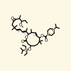 CCC(OC)C(C)C1OC1CC(C)(C)/C=C/C=C(\C)C1OC(=O)CC(O[Si](CC)(CC)C(C)C)CCC(C)(C)C(OC(=O)N2CCN(C(C)C)CC2)/C=C/C1C